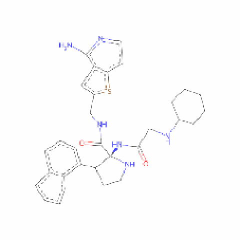 Nc1nccc2sc(CNC(=O)[C@]3(NC(=O)CNC4CCCCC4)NCCC3c3cccc4ccccc34)cc12